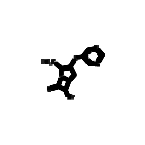 CC(C)C1C(=O)N2C(C(=O)O)=C(Sc3cncnc3)CC12